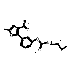 CCCCNC(=O)Oc1cccc(-c2oc(C)cc2C(N)=O)c1